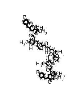 C[C@@H]1CN(CC(=O)N2CC(C)(C)c3[nH]c(=O)c(Cc4ccc(F)cc4)cc32)[C@@H](CN2CCOC(C(=O)NCCCN(C)C(=O)C3CN(C[C@H]4CN[C@H](C)CN4CC(=O)N4CC(C)(C)c5[nH]c(=O)c(Cc6ccc(F)cc6)cc54)CCO3)C2)CN1